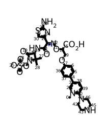 C[n+]1cc(-c2ccc(OCC(O/N=C(\C(=O)N[C@@H]3C(=O)N(OS(=O)(=O)[O-])C3(C)C)c3csc(N)n3)C(=O)O)cc2)ccc1N1CCNCC1